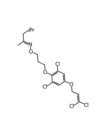 C/C(CC(C)C)=N\OCCCOc1c(Cl)cc(OCC=C(Cl)Cl)cc1Cl